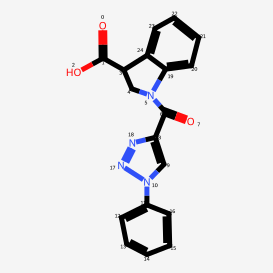 O=C(O)C1CN(C(=O)c2cn(-c3ccccc3)nn2)c2ccccc21